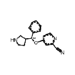 N#Cc1cc(O[C@H](c2ccccc2)C2CCNC2)ccn1